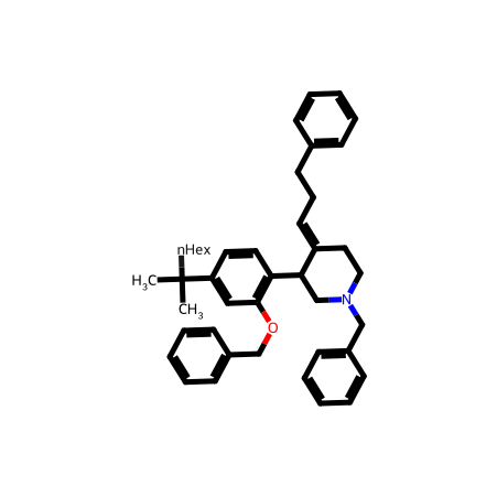 CCCCCCC(C)(C)c1ccc(C2CN(Cc3ccccc3)CCC2=CCCc2ccccc2)c(OCc2ccccc2)c1